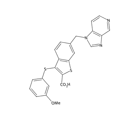 COc1cccc(Sc2c(C(=O)O)sc3cc(Cn4cnc5cnccc54)ccc23)c1